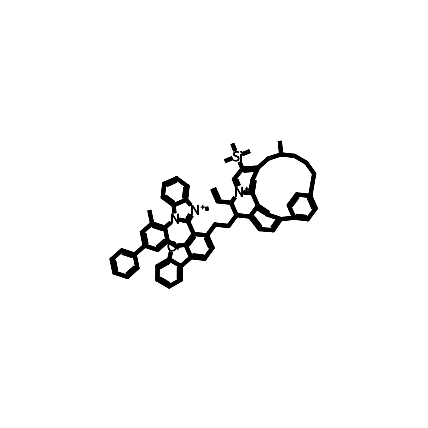 C=CC1C(CCc2ccc3c(oc4ccccc43)c2-c2n(-c3c(C)cc(-c4ccccc4)cc3C)c3ccccc3[n+]2C)c2ccc3cc2-c2cc(c([Si](C)(C)C)c[n+]21)CC(C)CCCc1ccc-3cc1